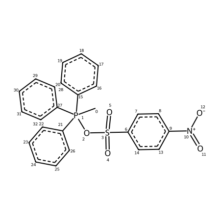 CP(OS(=O)(=O)c1ccc([N+](=O)[O-])cc1)(c1ccccc1)(c1ccccc1)c1ccccc1